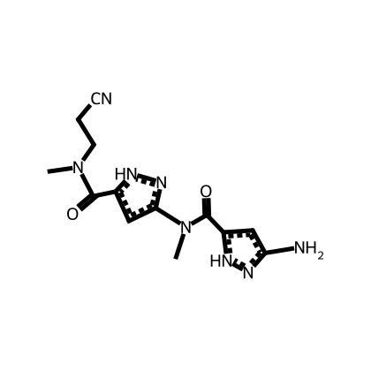 CN(CCC#N)C(=O)c1cc(N(C)C(=O)c2cc(N)n[nH]2)n[nH]1